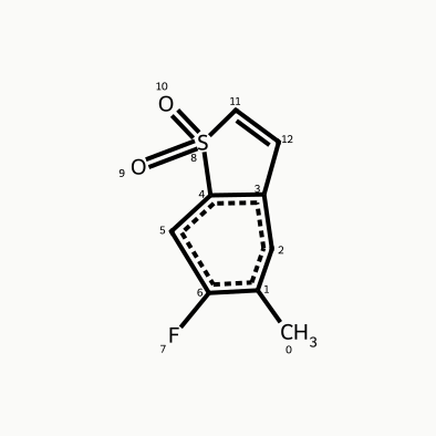 Cc1cc2c(cc1F)S(=O)(=O)C=C2